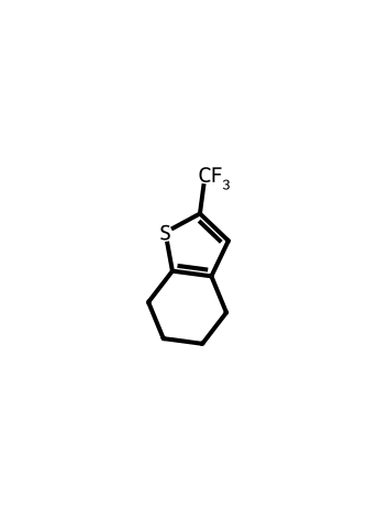 FC(F)(F)c1cc2c(s1)CCCC2